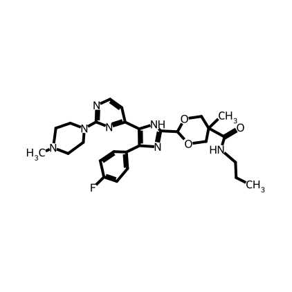 CCCNC(=O)C1(C)COC(c2nc(-c3ccc(F)cc3)c(-c3ccnc(N4CCN(C)CC4)n3)[nH]2)OC1